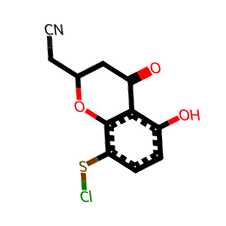 N#CCC1CC(=O)c2c(O)ccc(SCl)c2O1